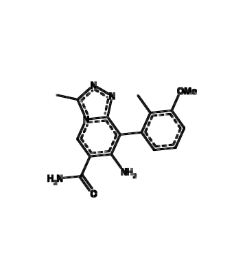 COc1cccc(-c2c(N)c(C(N)=O)cn3c(C)nnc23)c1C